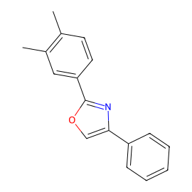 Cc1ccc(-c2nc(-c3ccccc3)co2)cc1C